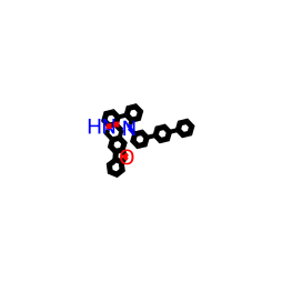 C1=C(N(c2cccc(-c3ccc(-c4ccccc4)cc3)c2)c2ccccc2-c2ccccc2)c2cc3oc4ccccc4c3cc2CN1